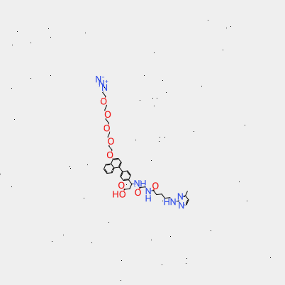 Cc1ccnc(NCCCCC(=O)NCC(=O)NC(CC(=O)O)c2ccc(-c3ccc(OCCOCCOCCOCCOCCN=[N+]=[N-])c4ccccc34)cc2)n1